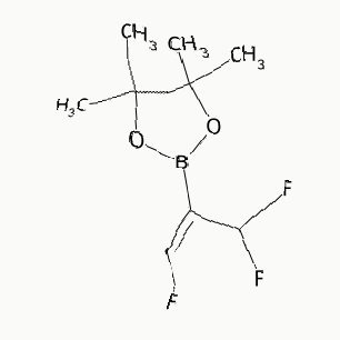 CC1(C)OB(C(=CF)C(F)F)OC1(C)C